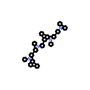 c1ccc(-n2c3ccc(-c4ccc5c(c4)c4ccccc4n5-c4cccc(-c5cc6c7c(cc8c9cc(-c%10ccc(-n%11c%12ccccc%12c%12ccccc%12%11)cc%10)ccc9n(-c9ccccc9)c8c7c5)-c5ccccc5-6)c4)cc3c3cc4c5c(cccc5c32)-c2ccccc2-4)cc1